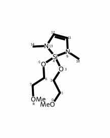 COCCO[Si]1(OCCOC)N(C)C=CN1C